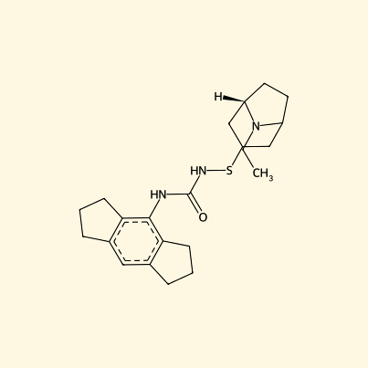 CCN1C2CC[C@H]1CC(SNC(=O)Nc1c3c(cc4c1CCC4)CCC3)C2